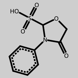 O=C1COC(S(=O)(=O)O)N1c1ccccc1